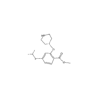 COC(=O)c1ccc(SC(C)C)cc1OC1CCNCC1